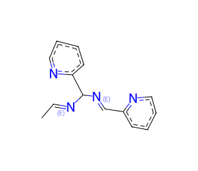 C/C=N/C(/N=C/c1ccccn1)c1ccccn1